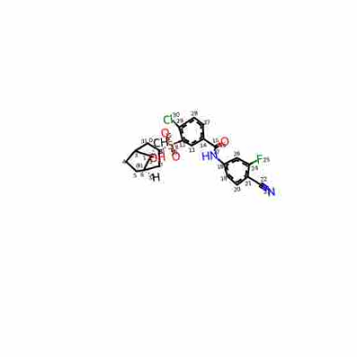 C[C@@]1(O)C2CC[C@@H]1C[C@@H](S(=O)(=O)c1cc(C(=O)Nc3ccc(C#N)c(F)c3)ccc1Cl)C2